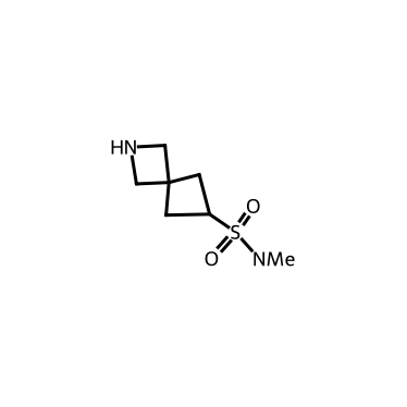 CNS(=O)(=O)C1CC2(CNC2)C1